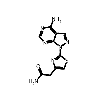 NC(=O)Cc1csc(-n2ncc3c(N)ncnc32)n1